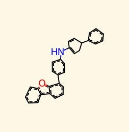 C1=CC(c2ccccc2)CC=C1Nc1ccc(-c2cccc3c2oc2ccccc23)cc1